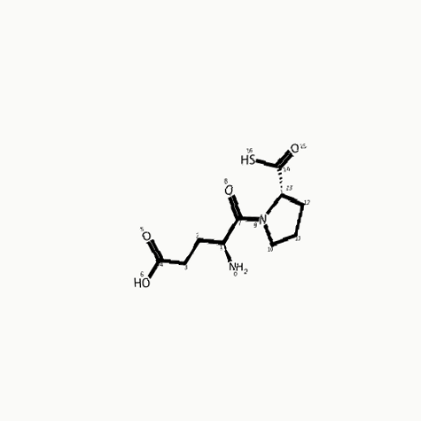 N[C@@H](CCC(=O)O)C(=O)N1CCC[C@H]1C(=O)S